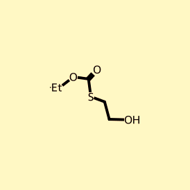 C[CH]OC(=O)SCCO